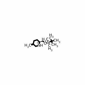 C=C1CC[C@@H](CO[Si](C)(C)C(C)(C)C)NC1